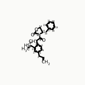 C=CCc1ccc(CC(=O)N2C(=O)OC[C@@H]2Cc2ccccc2)c([SiH](C)C)c1